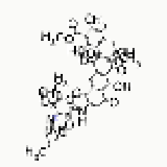 CCCN/N=C1/[C@@H](OC)[C@H](C)O[C@H](NC2=CC(=O)c3c(cc4c(c3O)C(=O)[C@]3(OC)[C@H](O)Cc5cc(C)c(C(=O)OC)c(O)c5[C@]3(O)C4=O)C2=O)[C@@H]1OC